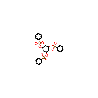 O=S(=O)(OC1CC(OS(=O)(=O)c2ccccc2)CC(OS(=O)(=O)c2ccccc2)C1)c1ccccc1